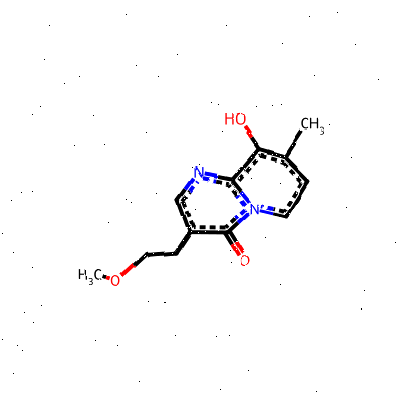 COCCc1cnc2c(O)c(C)ccn2c1=O